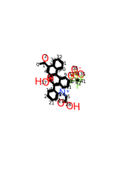 CC(=O)c1cc(C)c(-c2cccc3c2c(C(=O)O)c2ccccc2[n+]3CC(=O)O)c2ccccc12.O=S(=O)([O-])C(F)(F)F